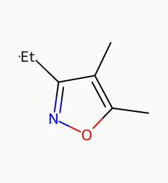 C[CH]c1noc(C)c1C